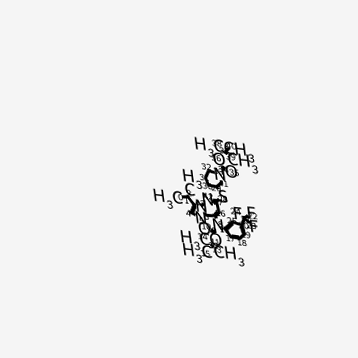 CC(C)c1cnc2c(N(C(=O)OC(C)(C)C)c3cccc(C(F)(F)F)c3)cc(SC3CCCN(C(=O)OC(C)(C)C)C3)nn12